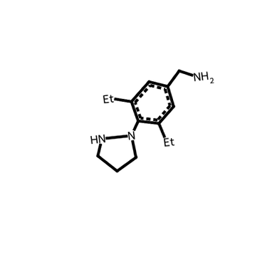 CCc1cc(CN)cc(CC)c1N1CCCN1